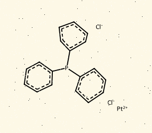 [Cl-].[Cl-].[Pt+2].c1ccc(P(c2ccccc2)c2ccccc2)cc1